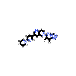 Cc1c(N2CCc3ncc(-c4ccc(N5CCCCC5)nc4)cc3C2)nn2cnnc2c1C